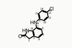 O=C1Cc2cccc(Nc3ccc(Cl)cc3)c2N1